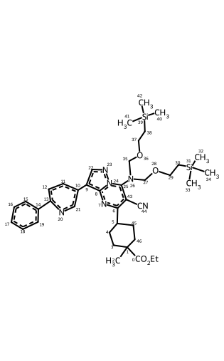 CCOC(=O)C1(C)CCC(c2nc3c(-c4ccc(-c5ccccc5)nc4)cnn3c(N(COCC[Si](C)(C)C)COCC[Si](C)(C)C)c2C#N)CC1